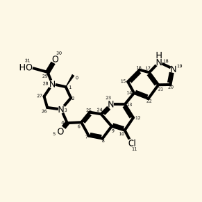 C[C@H]1CN(C(=O)c2ccc3c(Cl)cc(-c4ccc5[nH]ncc5c4)nc3c2)CCN1C(=O)O